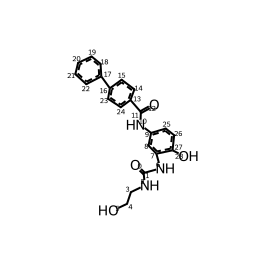 O=C(NCCO)Nc1cc(NC(=O)c2ccc(-c3ccccc3)cc2)ccc1O